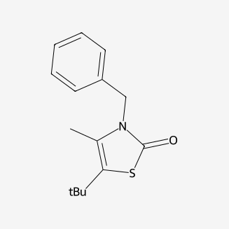 Cc1c(C(C)(C)C)sc(=O)n1Cc1ccccc1